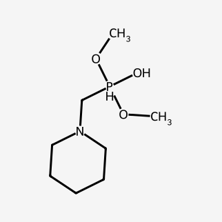 CO[PH](O)(CN1CCCCC1)OC